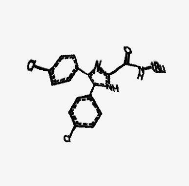 CC(C)(C)NC(=O)c1nc(-c2ccc(Cl)cc2)c(-c2ccc(Cl)cc2)[nH]1